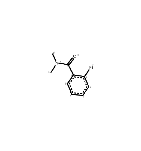 CCc1c[c]ccc1C(=O)N(C)C